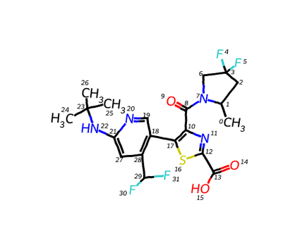 CC1CC(F)(F)CN1C(=O)c1nc(C(=O)O)sc1-c1cnc(NC(C)(C)C)cc1C(F)F